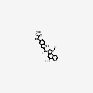 CC(C)(C)OC(=O)Nc1ccc2[nH]c(C(=O)N3C[C@@H](CBr)c4c3cc(O)c3ccccc43)cc2c1